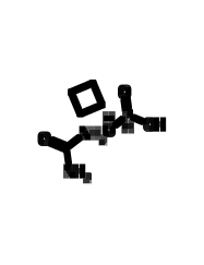 C1CCC1.NC(N)=O.O=[PH](O)O